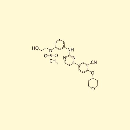 CS(=O)(=O)N(CCO)c1cccc(Nc2nccc(-c3ccc(OC4CCOCC4)c(C#N)c3)n2)c1